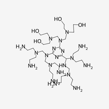 NCCN(CCN)CNC(c1nc(N(CN(CCN)CCN)CN(CCN)CCN)nc(N(CN(CCO)CCO)CN(CCO)CCO)n1)N(CCN)CCN